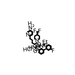 CCC(=O)Nc1c(-c2cccc(F)c2)cccc1S(=O)(=O)NC(CCCc1ccc(N)cn1)C(=O)N1CCC(=C(F)F)CC1.Cl